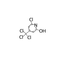 Oc1cc(C(Cl)(Cl)Cl)cc(Cl)n1